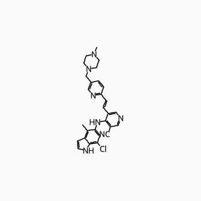 Cc1c(Nc2c(C#N)cncc2C=Cc2ccc(CN3CCN(C)CC3)cn2)cc(Cl)c2[nH]ccc12